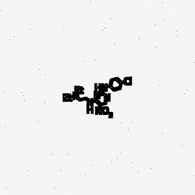 CCN(CC)CCNc1nc(Nc2ccc(Cl)cc2)ncc1[N+](=O)[O-]